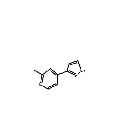 Cc1cc(-c2cc[nH]n2)ccn1